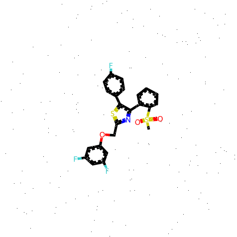 CS(=O)(=O)c1ccccc1-c1nc(COc2cc(F)cc(F)c2)sc1-c1ccc(F)cc1